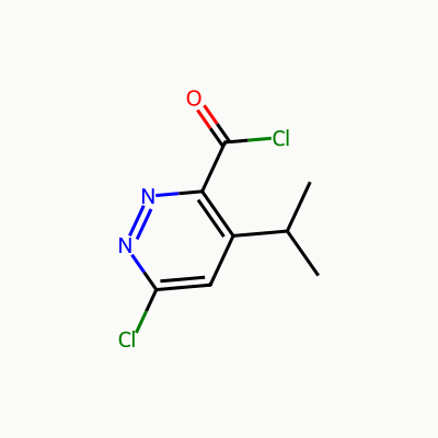 CC(C)c1cc(Cl)nnc1C(=O)Cl